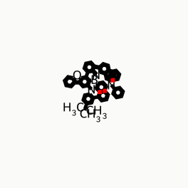 CC(C)(C)c1ccc(N2c3ccc(N(c4ccccc4)c4ccccc4)cc3B3c4c2cc2c(oc5ccccc52)c4-c2cccc4c5ccc6ccccc6c5n3c24)c(-c2ccccc2)c1